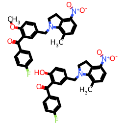 COc1ccc(CN2CCc3c([N+](=O)[O-])ccc(C)c32)cc1C(=O)c1ccc(F)cc1.Cc1ccc([N+](=O)[O-])c2c1N(Cc1ccc(O)c(C(=O)c3ccc(F)cc3)c1)CC2